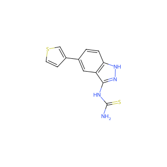 NC(=S)Nc1n[nH]c2ccc(-c3ccsc3)cc12